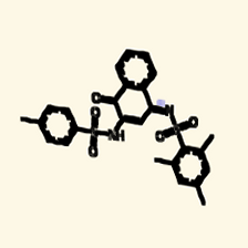 Cc1ccc(S(=O)(=O)NC2=C/C(=N\S(=O)(=O)c3c(C)cc(C)cc3C)c3ccccc3C2=O)cc1